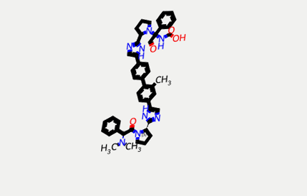 Cc1cc(-c2cnc([C@@H]3CCCN3C(=O)[C@@H](c3ccccc3)N(C)C)[nH]2)ccc1-c1ccc(-c2cnc(C3CCCN3C(C=O)(NC(=O)O)c3ccccc3)[nH]2)cc1